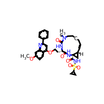 COc1ccc2c(OCC[C@@H]3NC(=O)N(C)CCCC/C=C\[C@@H]4C[C@@]4(C(=O)NS(=O)(=O)C4CC4)NC3=O)cc(-c3ccccc3)nc2c1